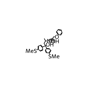 CSc1ccc(C(O)(CC(C)NC[C@H](O)COc2ccccc2)c2ccc(SC)cc2)cc1